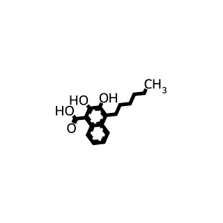 CCCCCCc1c(O)c(O)c(C(=O)O)c2ccccc12